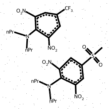 CCCN(CCC)c1c([N+](=O)[O-])cc(C(F)(F)F)cc1[N+](=O)[O-].CCCN(CCC)c1c([N+](=O)[O-])cc(S(C)(=O)=O)cc1[N+](=O)[O-]